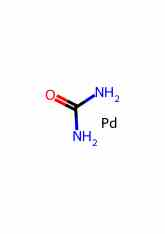 NC(N)=O.[Pd]